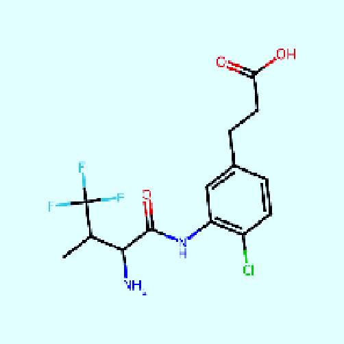 CC(C(N)C(=O)Nc1cc(CCC(=O)O)ccc1Cl)C(F)(F)F